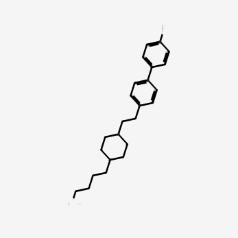 CCCCCC1CCC(CCc2ccc(-c3ccc(F)cc3)cc2)CC1